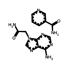 NC(=O)Cn1cnc2c(N)ncnc21.NC(=O)c1cccnc1